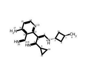 C[C@H]1C[C@H](N/C=C(\C(=N)C2CC2)c2nccc(N)c2C=N)C1